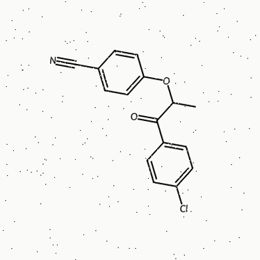 CC(Oc1ccc(C#N)cc1)C(=O)c1ccc(Cl)cc1